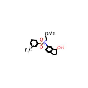 COCCN(c1ccc2c(c1)C(O)CC2)S(=O)(=O)c1cccc(C(F)(F)F)c1